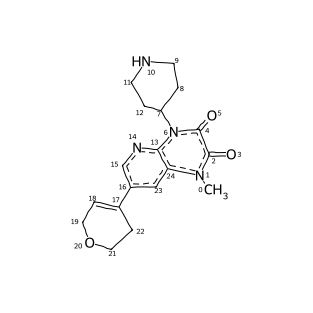 Cn1c(=O)c(=O)n(C2CCNCC2)c2ncc(C3=CCOCC3)cc21